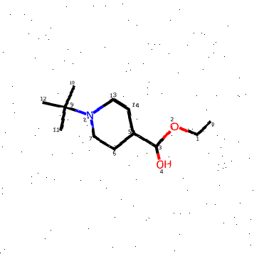 CCOC(O)C1CCN(C(C)(C)C)CC1